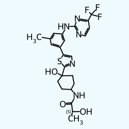 Cc1cc(Nc2nccc(C(F)(F)F)n2)cc(-c2cnc(C3(O)CCC(NC(=O)[C@H](C)O)CC3)s2)c1